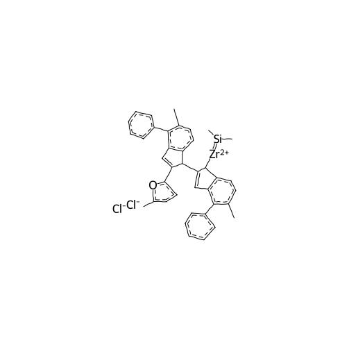 Cc1ccc(C2=Cc3c(ccc(C)c3-c3ccccc3)C2C2=Cc3c(ccc(C)c3-c3ccccc3)[CH]2[Zr+2]=[Si](C)C)o1.[Cl-].[Cl-]